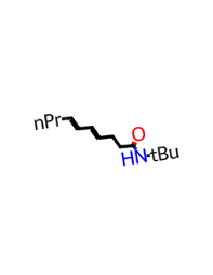 CCCC=C/C=C/CCC(=O)NC(C)(C)C